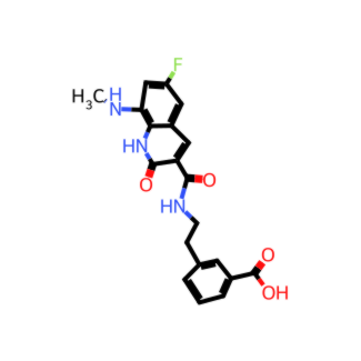 CNc1cc(F)cc2cc(C(=O)NCCc3cccc(C(=O)O)c3)c(=O)[nH]c12